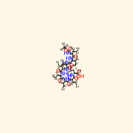 CC[C@H](C)[C@H](NC(=O)[C@@H](NC(=O)[C@@H](NC(=O)[C@@H](NC(=O)[C@@H](NC(=O)[C@@H](NC(=O)[C@@H](NC(=O)[C@@H](NC(=O)OC(C)(C)C)[C@@H](C)CC)[C@@H](C)CC)C(C)C)[C@@H](C)CC)[C@@H](C)CC)[C@@H](C)CC)[C@@H](C)CC)C(=O)O